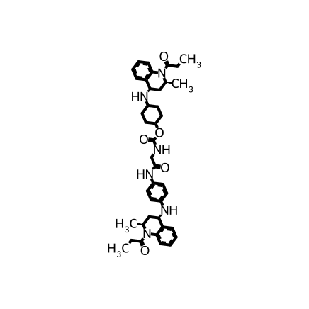 CCC(=O)N1c2ccccc2[C@H](Nc2ccc(NC(=O)CNC(=O)OC3CCC(N[C@@H]4C[C@H](C)N(C(=O)CC)c5ccccc54)CC3)cc2)C[C@@H]1C